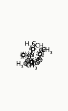 CC(C)c1ccc(C(=O)CC(=O)c2ccccc2)cc1.COc1ccc(C(=O)CC(=O)c2ccc(C(C)(C)C)cc2)cc1